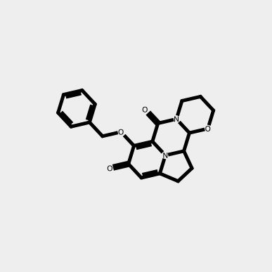 O=C1c2c(OCc3ccccc3)c(=O)cc3n2C(CC3)C2OCCCN12